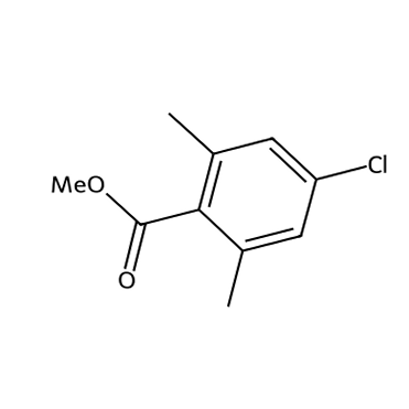 COC(=O)c1c(C)cc(Cl)cc1C